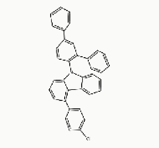 Clc1ccc(-c2cccc3c2c2ccccc2n3-c2ccc(-c3ccccc3)cc2-c2ccccc2)cc1